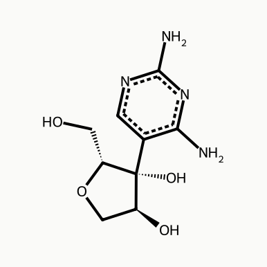 Nc1ncc([C@@]2(O)[C@@H](O)CO[C@@H]2CO)c(N)n1